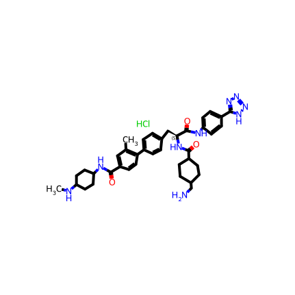 CNC1CCC(NC(=O)c2ccc(-c3ccc(C[C@H](NC(=O)C4CCC(CN)CC4)C(=O)Nc4ccc(-c5nnn[nH]5)cc4)cc3)c(C)c2)CC1.Cl